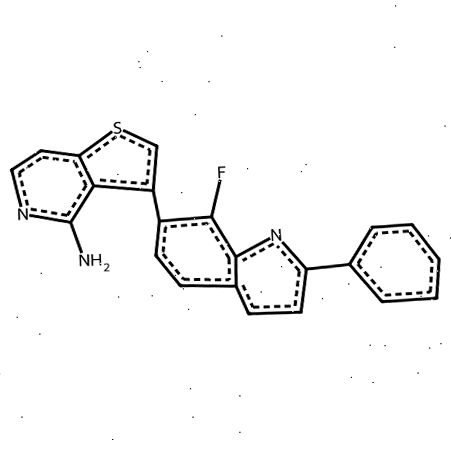 Nc1nccc2scc(-c3ccc4ccc(-c5ccccc5)nc4c3F)c12